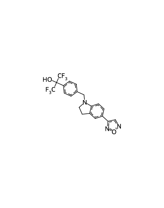 OC(c1ccc(CN2CCc3cc(-c4cnon4)ccc32)cc1)(C(F)(F)F)C(F)(F)F